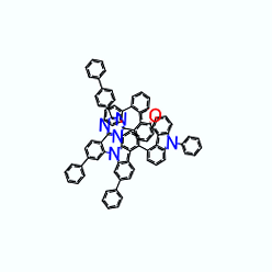 c1ccc(-c2ccc(-c3nc(-c4ccc(-c5ccccc5)cc4-n4c5cc(-c6ccccc6)ccc5c5c(-c6cccc7c6c6ccccc6n7-c6ccccc6)cccc54)nc(-c4cccc5oc6cccc(-c7ccccc7)c6c45)n3)cc2)cc1